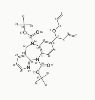 C=CCOC(CC=C)c1ccc2c(c1)N(C(=O)OC(C)(C)C)Cc1cccnc1N2C(=O)OC(C)(C)C